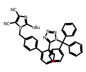 CCCCc1nc(C#N)c(C#N)n1Cc1ccc(-c2ccccc2-c2nnnn2C(c2ccccc2)(c2ccccc2)c2ccccc2)cc1